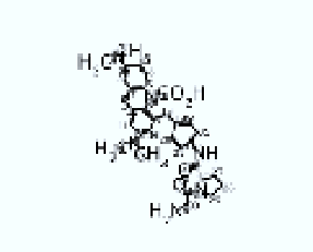 CN(C)c1ccc2c(c1)Sc1cc(N(C)C)cc(Cc3ccc(NC(=O)[C@@H]4CCCN4C(=O)CN)cc3)c1N2C(=O)O